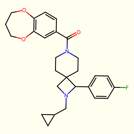 O=C(c1ccc2c(c1)OCCCO2)N1CCC2(CC1)CN(CC1CC1)C2c1ccc(F)cc1